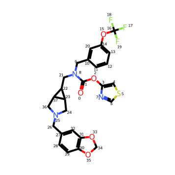 O=C(Oc1cscn1)N(Cc1cccc(OC(F)(F)F)c1)CC1C2CN(Cc3ccc4c(c3)OCO4)CC21